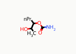 CCCC(OC(N)=O)C(C)O